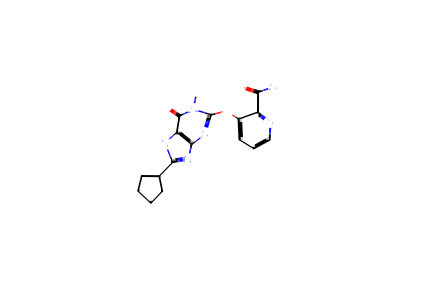 CCCn1c(Oc2cccnc2C(N)=O)nc2nc(C3CCCC3)[nH]c2c1=O